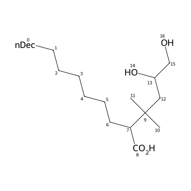 CCCCCCCCCCCCCCCCC(C(=O)O)C(C)(C)CC(O)CO